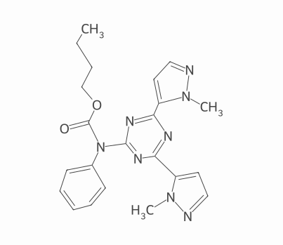 CCCCOC(=O)N(c1ccccc1)c1nc(-c2ccnn2C)nc(-c2ccnn2C)n1